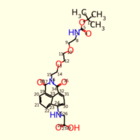 CC(C)(C)OC(=O)NCCOCCOCCN1C(=O)c2cccc3c(NCC(=O)O)ccc(c23)C1=O